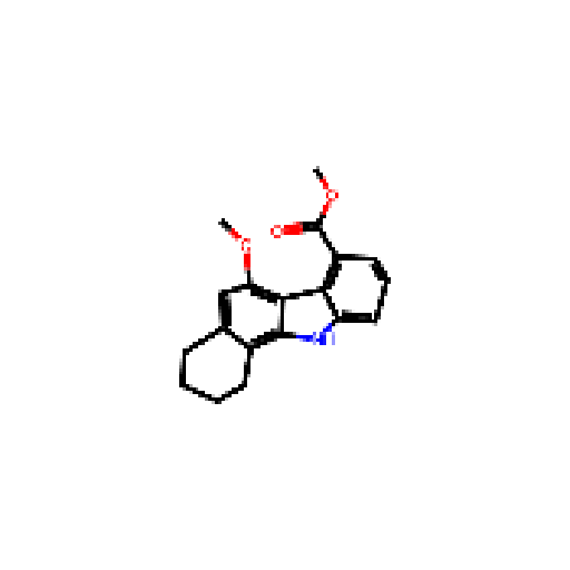 COC(=O)c1cccc2[nH]c3c4c(cc(OC)c3c12)CCCC4